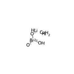 I.[CaH2].[LiH].[O-][Br+2]([O-])O